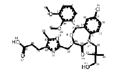 COc1cccc([C@H]2O[C@H](Cc3nc(CCC(=O)O)c(C)o3)C(=O)N(CC(C)(C)CO)c3ccc(Cl)cc32)c1OC